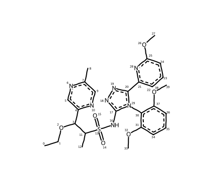 CCOC(c1cnc(C)cn1)C(C)S(=O)(=O)Nc1nnc(-c2cccc(OC)n2)n1-c1c(OC)cccc1OC